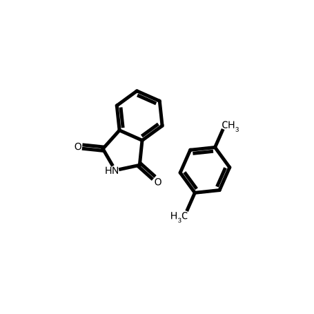 Cc1ccc(C)cc1.O=C1NC(=O)c2ccccc21